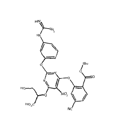 CC(C)(C)OC(=O)c1ccc(C#N)cc1Oc1nc(Oc2cccc(NC(=N)N)c2)nc(OC(CO)C(=O)O)c1[N+](=O)[O-]